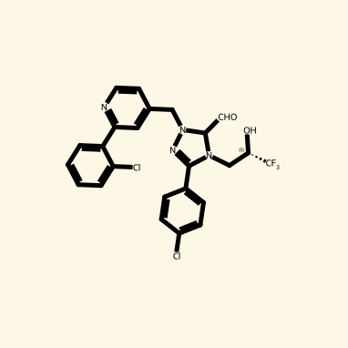 O=CC1N(Cc2ccnc(-c3ccccc3Cl)c2)N=C(c2ccc(Cl)cc2)N1C[C@H](O)C(F)(F)F